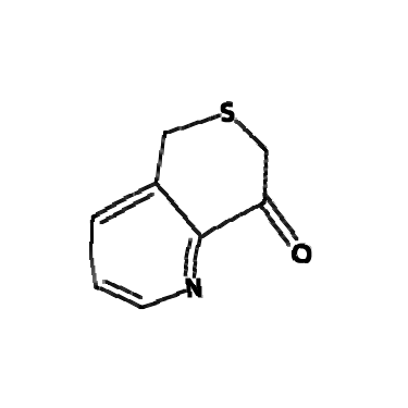 O=C1CSCc2cccnc21